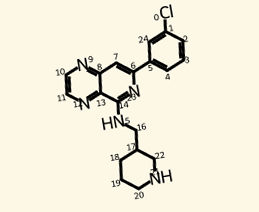 Clc1cccc(-c2cc3nccnc3c(NCC3CCCNC3)n2)c1